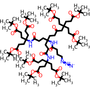 CC(C)(C)OC(=O)CCC(CCC(=O)OC(C)(C)C)(CCC(=O)OC(C)(C)C)CC(=O)CCC(CCC(=O)NC(CCC(=O)OC(C)(C)C)(CCC(=O)OC(C)(C)C)CCC(=O)OC(C)(C)C)(CCC(=O)NC(CCC(=O)OC(C)(C)C)(CCC(=O)OC(C)(C)C)CCC(=O)OC(C)(C)C)NC(=O)CCCN=[N+]=[N-]